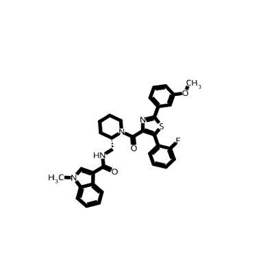 COc1cccc(-c2nc(C(=O)N3CCCC[C@H]3CNC(=O)c3cn(C)c4ccccc34)c(-c3ccccc3F)s2)c1